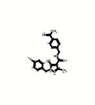 CC(=N)c1ccc(CNC(=O)c2c(C)nn(Cc3ccc(F)cc3)c2Cl)cc1